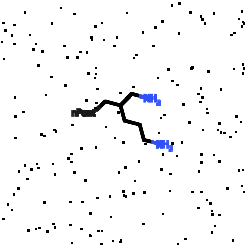 CCCCCCC(CN)CCCN